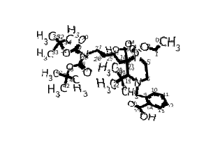 CCOP1(=O)CCN(Cc2ccccc2C(=O)O)C(C(C)(C)C)C1(CCCCN(C(=O)OC(C)(C)C)C(=O)OC(C)(C)C)C(=O)O